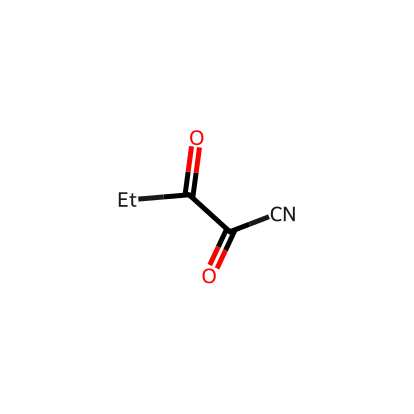 CCC(=O)C(=O)C#N